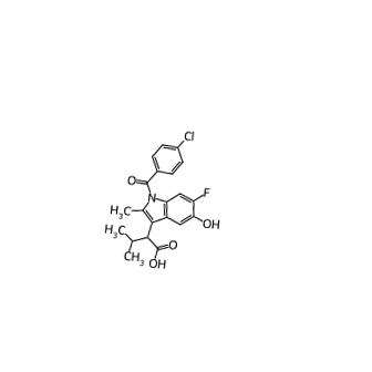 Cc1c(C(C(=O)O)C(C)C)c2cc(O)c(F)cc2n1C(=O)c1ccc(Cl)cc1